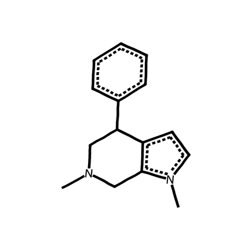 CN1Cc2c(ccn2C)C(c2ccccc2)C1